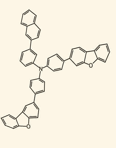 c1cc(-c2ccc3ccccc3c2)cc(N(c2ccc(-c3ccc4c(c3)oc3ccccc34)cc2)c2ccc(-c3ccc4oc5ccccc5c4c3)cc2)c1